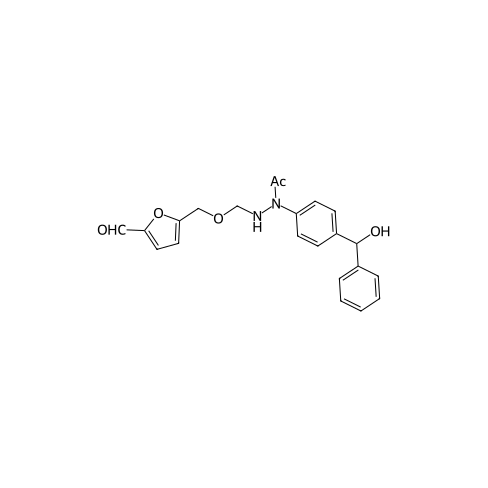 CC(=O)N(NCOCc1ccc(C=O)o1)c1ccc(C(O)c2ccccc2)cc1